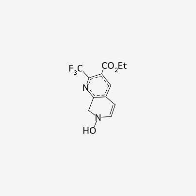 CCOC(=O)c1cc2c(nc1C(F)(F)F)CN(O)C=C2